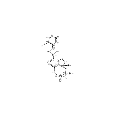 O=C([C@@H]1CC[C@@H]2C[C@H]3C[C@@H]3CCC(=O)N21)N1CC(c2cnccc2F)C1